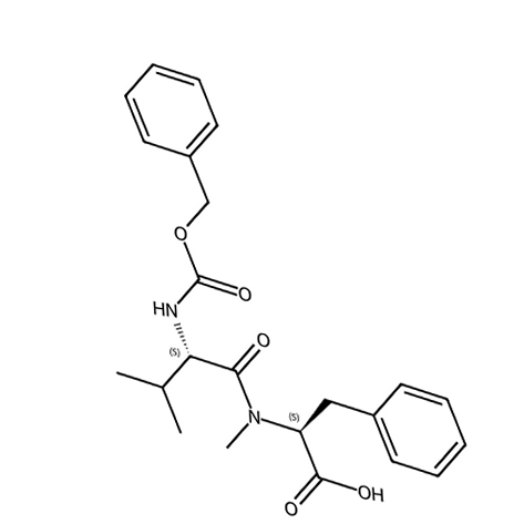 CC(C)[C@H](NC(=O)OCc1ccccc1)C(=O)N(C)[C@@H](Cc1ccccc1)C(=O)O